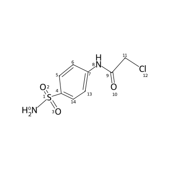 NS(=O)(=O)c1ccc(NC(=O)CCl)cc1